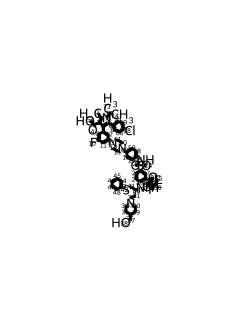 Cc1c(C(=O)O)c(-c2cc(F)cc(N3CCN(c4ccc(NS(=O)(=O)c5ccc(N[C@H](CCN6CCC(CO)CC6)CSc6ccccc6)c(S(=O)(=O)C(F)(F)F)c5)cc4)CC3)c2)c(-c2ccc(Cl)cc2)n1C(C)C